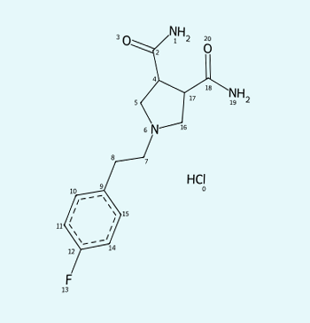 Cl.NC(=O)C1CN(CCc2ccc(F)cc2)CC1C(N)=O